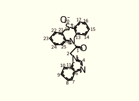 O=C(Cn1cnc2ccccc21)N1c2ccccc2[S+]([O-])c2ccccc21